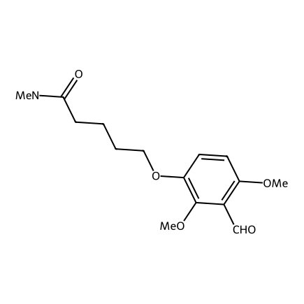 CNC(=O)CCCCOc1ccc(OC)c(C=O)c1OC